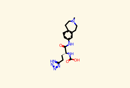 CN1CCc2ccc(NC(=O)[C@@H](CCc3nnn[nH]3)NC(=O)O)cc2CC1